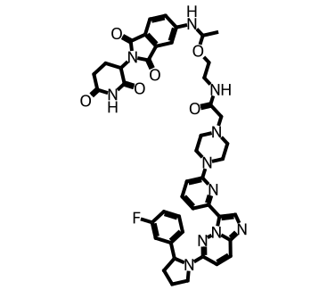 CC(Nc1ccc2c(c1)C(=O)N(C1CCC(=O)NC1=O)C2=O)OCCNC(=O)CN1CCN(c2cccc(-c3cnc4ccc(N5CCCC5c5cccc(F)c5)nn34)n2)CC1